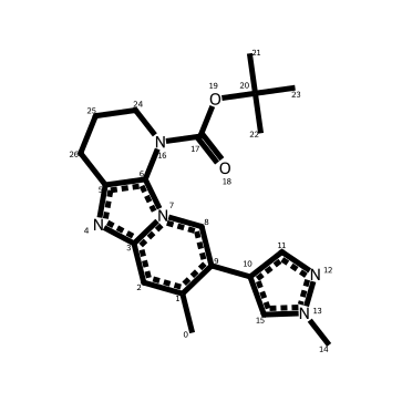 Cc1cc2nc3c(n2cc1-c1cnn(C)c1)N(C(=O)OC(C)(C)C)CCC3